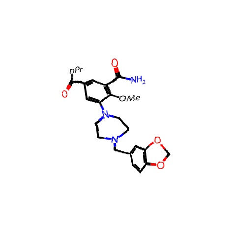 CCCC(=O)c1cc(C(N)=O)c(OC)c(N2CCN(Cc3ccc4c(c3)OCO4)CC2)c1